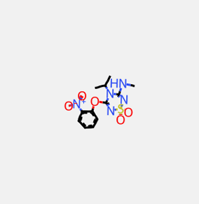 CNC1=NS(=O)(=O)N=C(Oc2ccccc2[N+](=O)[O-])N1C(C)C